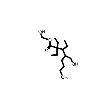 CCC(C(CO)CCCO)C(CC)(CC)C(=O)OCO